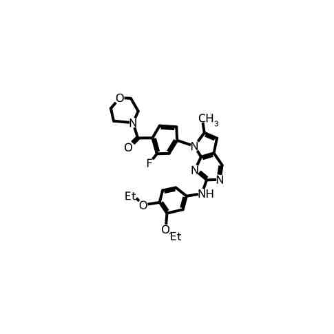 CCOc1ccc(Nc2ncc3cc(C)n(-c4ccc(C(=O)N5CCOCC5)c(F)c4)c3n2)cc1OCC